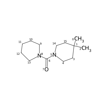 CC1(C)CCN(C(=O)N2CCCCC2)CC1